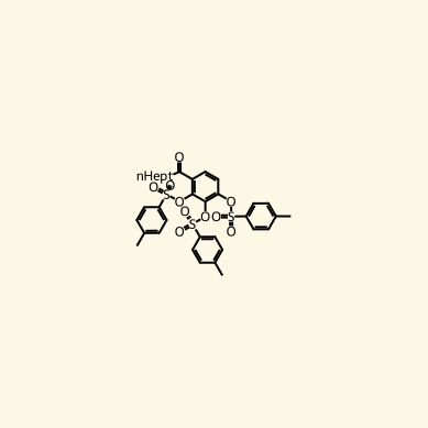 CCCCCCCC(=O)c1ccc(OS(=O)(=O)c2ccc(C)cc2)c(OS(=O)(=O)c2ccc(C)cc2)c1OS(=O)(=O)c1ccc(C)cc1